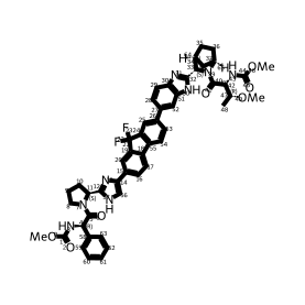 COC(=O)N[C@@H](C(=O)N1CCC[C@H]1c1nc(-c2ccc3c(c2)C(F)(F)c2cc(-c4ccc5nc([C@@H]6[C@H]7CC[C@H](C7)N6C(=O)[C@H](NC(=O)OC)[C@@H](C)OC)[nH]c5c4)ccc2-3)c[nH]1)c1ccccc1